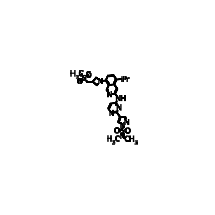 CC(C)c1ccc(N2CC(CS(C)(=O)=O)C2)c2cnc(Nc3ccnc(-c4cnn(S(=O)(=O)N(C)C)c4)n3)cc12